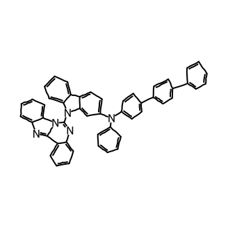 c1ccc(-c2ccc(-c3ccc(N(c4ccccc4)c4ccc5c6ccccc6n(-c6nc7ccccc7c7nc8ccccc8n67)c5c4)cc3)cc2)cc1